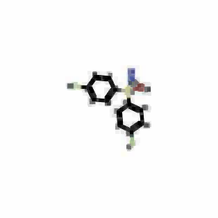 Fc1ccc(S2(c3ccc(F)cc3)NO2)cc1